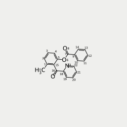 Cc1cccc(OC(=O)c2ccccc2)c1C(=O)c1ccccn1